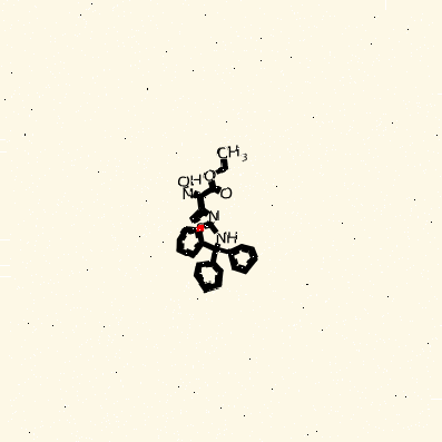 CCOC(=O)/C(=N\O)c1csc(NC(c2ccccc2)(c2ccccc2)c2ccccc2)n1